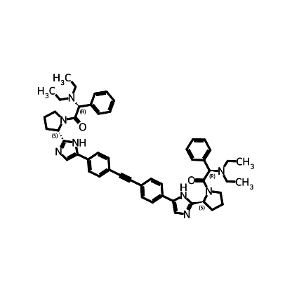 CCN(CC)[C@@H](C(=O)N1CCC[C@H]1c1ncc(-c2ccc(C#Cc3ccc(-c4cnc([C@@H]5CCCN5C(=O)[C@@H](c5ccccc5)N(CC)CC)[nH]4)cc3)cc2)[nH]1)c1ccccc1